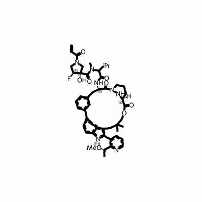 C=CC(=O)N1C[C@H](F)[C@](O)(C(=O)N(C)C(C(=O)N[C@H]2Cc3cccc(c3)-c3ccc4c(c3)c(c(-c3cccnc3[C@H](C)OC)n4CC)CC(C)(C)COC(=O)[C@@H]3CCCN(N3)C2=O)C(C)C)C1